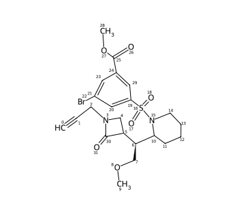 C#CCN1CC([C@H](COC)C2CCCCN2S(=O)(=O)c2cc(Br)cc(C(=O)OC)c2)C1=O